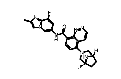 Cc1cn2cc(NC(=O)c3ccc(N4C[C@H]5CC[C@@H](C4)N5)c4ccnnc34)cc(F)c2n1